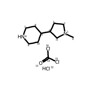 CN1CCC(C2CCNCC2)C1.Cl.O=C(Cl)Cl